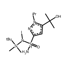 CC(C)n1nc([SH](N)(=O)N(I)[Si](C)(C)C(C)(C)C)cc1C(C)(C)O